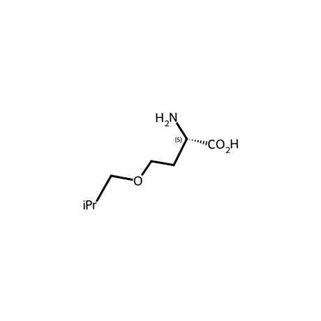 CC(C)COCC[C@H](N)C(=O)O